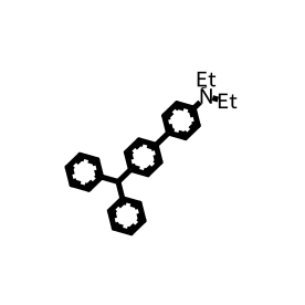 CCN(CC)c1ccc(-c2ccc(C(c3ccccc3)c3ccccc3)cc2)cc1